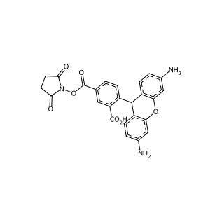 Nc1ccc2c(c1)Oc1cc(N)ccc1C2c1ccc(C(=O)ON2C(=O)CCC2=O)cc1C(=O)O